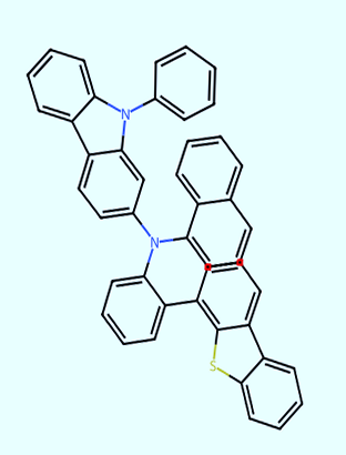 c1ccc(-n2c3ccccc3c3ccc(N(c4ccccc4-c4cccc5c4sc4ccccc45)c4cccc5ccccc45)cc32)cc1